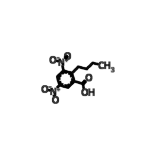 CCCCc1c(C(=O)O)cc([N+](=O)[O-])cc1[N+](=O)[O-]